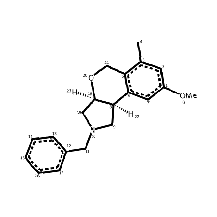 COc1cc(C)c2c(c1)[C@H]1CN(Cc3ccccc3)C[C@H]1OC2